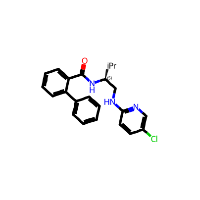 CC(C)[C@@H](CNc1ccc(Cl)cn1)NC(=O)c1ccccc1-c1ccccc1